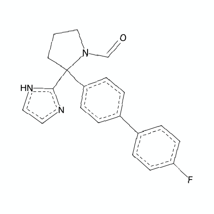 O=CN1CCCC1(c1ccc(-c2ccc(F)cc2)cc1)c1ncc[nH]1